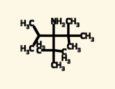 CC(C)C(N)(C(C)(C)C)C(C)(C)C